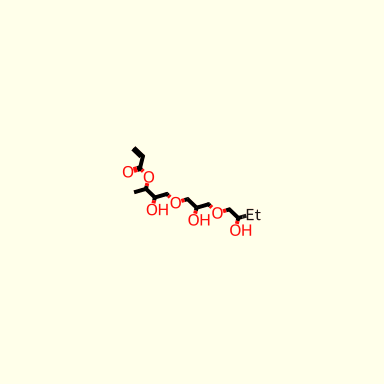 C=CC(=O)OC(C)C(O)COCC(O)COCC(O)CC